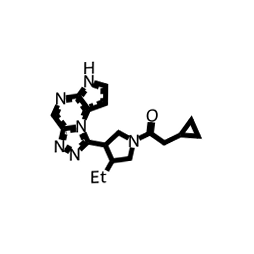 CCC1CN(C(=O)CC2CC2)CC1c1nnc2cnc3[nH]ccc3n12